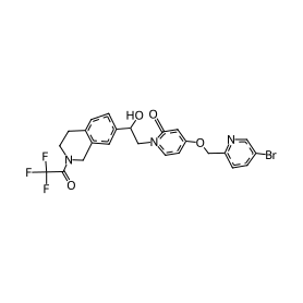 O=C(N1CCc2ccc(C(O)Cn3ccc(OCc4ccc(Br)cn4)cc3=O)cc2C1)C(F)(F)F